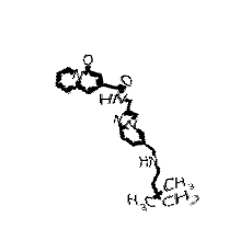 CC(C)(C)CCNCc1ccc2nc(CNC(=O)c3cc(=O)n4ccccc4c3)cn2c1